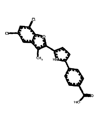 Cc1c(-c2ccc(-c3ccc(C(=O)O)cc3)[nH]2)oc2c(Cl)cc(Cl)cc12